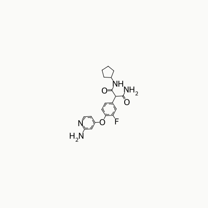 NC(=O)C(C(=O)NC1CCCC1)c1ccc(Oc2ccnc(N)c2)c(F)c1